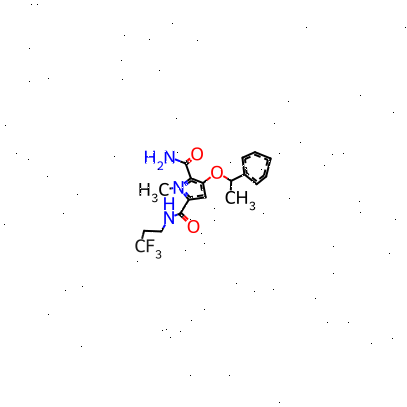 CC(Oc1cc(C(=O)NCCC(F)(F)F)n(C)c1C(N)=O)c1ccccc1